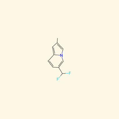 Cc1cc2ccc(C(F)F)cn2c1